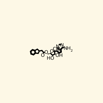 N#C[C@@]1(c2ccc3c(N)ncnn23)O[C@H](COC(=O)CC2Cc3ccccc3C2)[C@@H](O)[C@H]1O